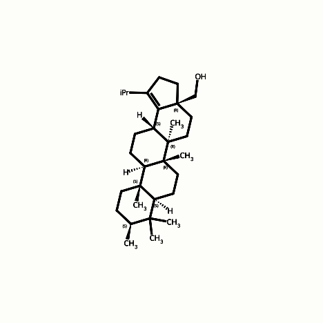 CC(C)C1=C2[C@H]3CC[C@@H]4[C@@]5(C)CC[C@H](C)C(C)(C)[C@@H]5CC[C@@]4(C)[C@]3(C)CC[C@@]2(CO)CC1